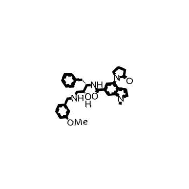 COc1cccc(CNC[C@@H](O)[C@H](Cc2ccccc2)NC(=O)c2cc(N3CCCC3=O)c3ccn(C)c3c2)c1